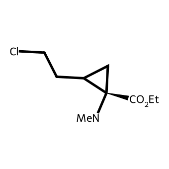 CCOC(=O)[C@]1(NC)CC1CCCl